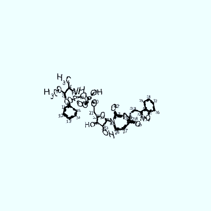 COC(=O)C(C)NP(=O)(Oc1ccccc1)OP(=O)(O)OC[C@H]1O[C@@H](n2ccc(=O)n(Cc3noc4ccccc34)c2=O)C(O)C1O